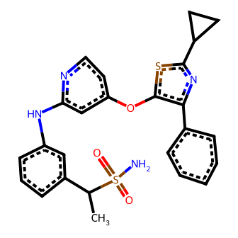 CC(c1cccc(Nc2cc(Oc3sc(C4CC4)nc3-c3ccccc3)ccn2)c1)S(N)(=O)=O